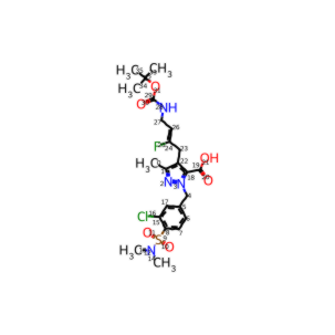 Cc1nn(Cc2ccc(S(=O)(=O)N(C)C)c(Cl)c2)c(C(=O)O)c1C/C(F)=C/CNC(=O)OC(C)(C)C